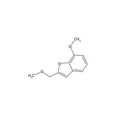 COCc1cc2cccc(OC)c2o1